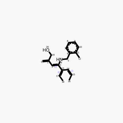 C=C(/C=C(NCc1ccccc1C)/C(/C=C\C)=C/C)CO